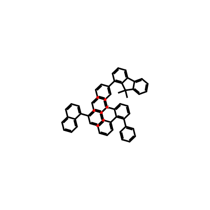 CC1(C)c2ccccc2-c2cccc(-c3cccc(N(c4cccc(-c5cccc6ccccc56)c4)c4cccc(-c5ccccc5)c4-c4ccccc4-c4ccccc4)c3)c21